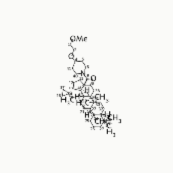 COCCOC1CCN(C(=O)[C@]23CC[C@@H](C4(C)CC4)[C@@H]2[C@H]2CC[C@@H]4[C@]5(C)CC[CH]C(C)(C)[C@H]5CC[C@@]4(C)[C@]2(C)CC3)CC1